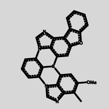 COc1cc2c3c(ncn3-c3cccc4c3B2c2cc3oc5ccccc5c3c3ncn-4c23)c1C